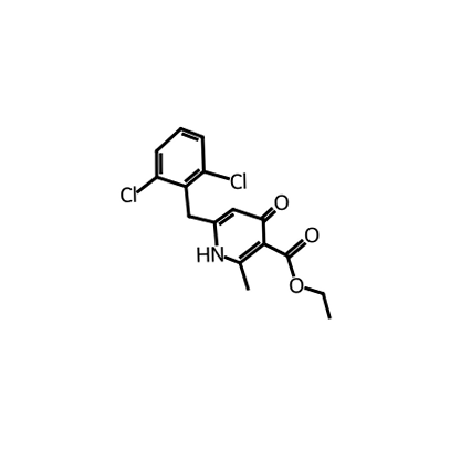 CCOC(=O)c1c(C)[nH]c(Cc2c(Cl)cccc2Cl)cc1=O